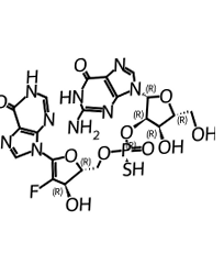 Nc1nc2c(ncn2[C@@H]2O[C@H](CO)[C@@H](O)[C@H]2O[P@](=O)(S)OC[C@H]2OC(n3cnc4c(=O)[nH]cnc43)=C(F)[C@@H]2O)c(=O)[nH]1